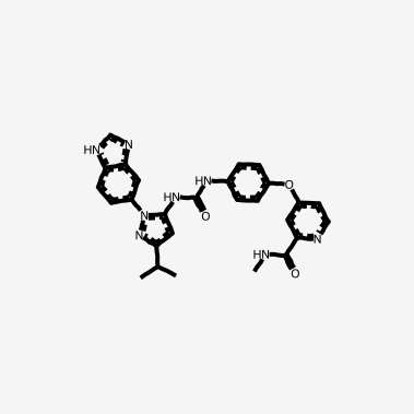 CNC(=O)c1cc(Oc2ccc(NC(=O)Nc3cc(C(C)C)nn3-c3ccc4[nH]cnc4c3)cc2)ccn1